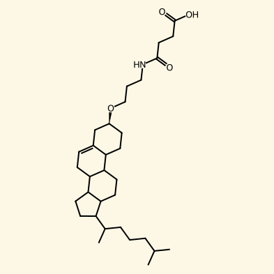 CC(C)CCCC(C)C1CCC2C1CCC1C3CC[C@H](OCCCNC(=O)CCC(=O)O)CC3=CCC12